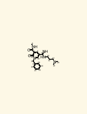 CNC(=O)c1cc(C(=N)NCCCN(C)C)cn(Cc2ccccc2)c1=O